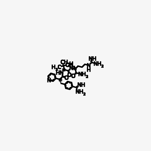 CC(C)(C)[C@H](NC(=O)[C@H](Cc1ccc(C(=N)N)cc1)c1cccnc1)C(=O)N[C@@H](CCCNC(=N)N)C(N)=O